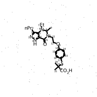 CCCc1n[nH]c2c1N(CC)C(C)N(CCOc1ccc(SC(C)(C)C(=O)O)cc1)C2=O